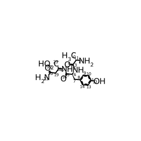 C[C@H](N)C(=O)N[C@@H](Cc1ccc(O)cc1)C(=O)N[C@@H](CC(N)=O)C(=O)O